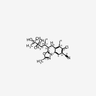 Cc1nnc([C@H](Nc2ccc(C#N)c(Cl)c2I)[C@H](I)CC(C)(C)[Si](C)(C)O)o1